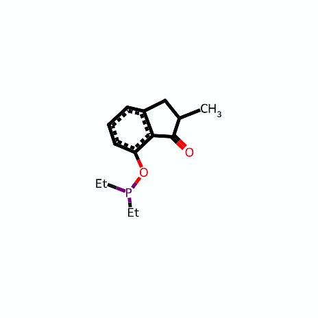 CCP(CC)Oc1cccc2c1C(=O)C(C)C2